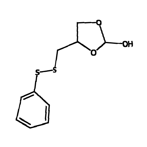 OC1OCC(CSSc2ccccc2)O1